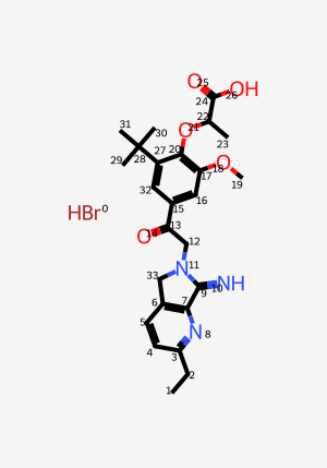 Br.CCc1ccc2c(n1)C(=N)N(CC(=O)c1cc(OC)c(OC(C)C(=O)O)c(C(C)(C)C)c1)C2